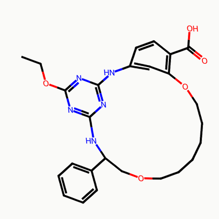 CCOc1nc2nc(n1)NC(c1ccccc1)COCCCCCCOc1cc(ccc1C(=O)O)N2